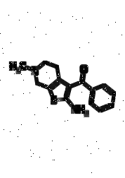 CN1CCc2c(sc(N)c2C(=O)c2ccccc2)C1